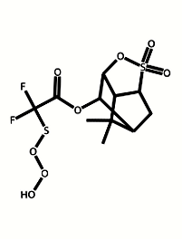 CC1(C)C2CC3C1C(OS3(=O)=O)C2OC(=O)C(F)(F)SOOO